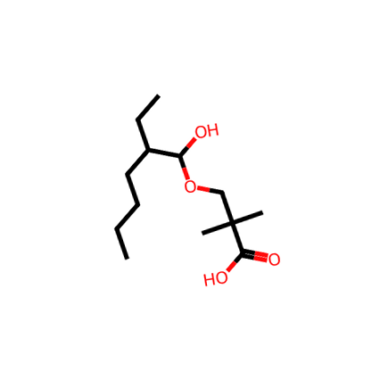 CCCCC(CC)C(O)OCC(C)(C)C(=O)O